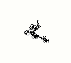 CCCC[C@H](C)C[C@@H](C=C[C@@H]1[C@@H](CC(=O)CCCCC(=O)O)[C@@H](O)C[C@H]1OC1CCCCO1)OC1CCCCO1